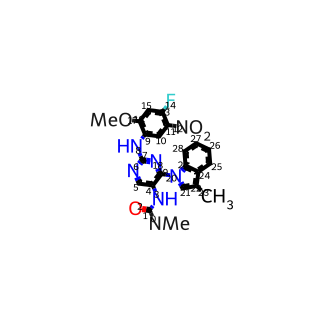 CNC(=O)Nc1cnc(Nc2cc([N+](=O)[O-])c(F)cc2OC)nc1-n1cc(C)c2ccccc21